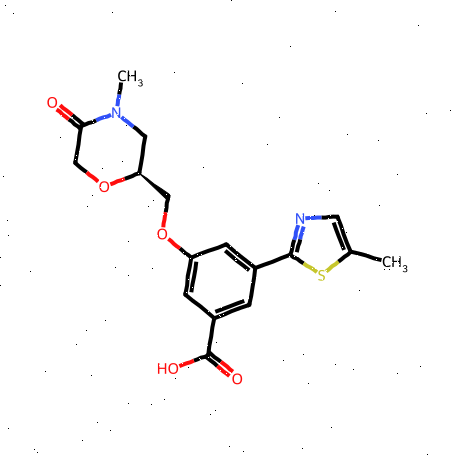 Cc1cnc(-c2cc(OC[C@@H]3CN(C)C(=O)CO3)cc(C(=O)O)c2)s1